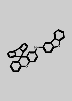 c1ccc2c(c1)Oc1ccc(Nc3ccc4sc5ccccc5c4c3)cc1C21c2ccccc2-c2ccccc21